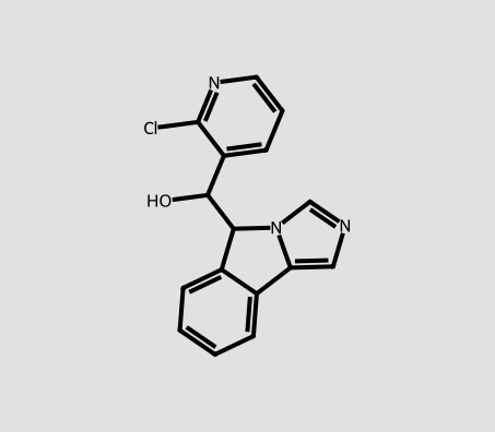 OC(c1cccnc1Cl)C1c2ccccc2-c2cncn21